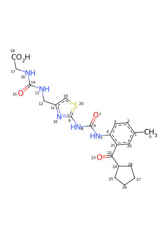 Cc1ccc(NC(=O)Nc2nc(CNC(=O)NCC(=O)O)cs2)c(C(=O)C2CCCC2)c1